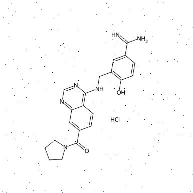 Cl.N=C(N)c1ccc(O)c(CNc2ncnc3cc(C(=O)N4CCCC4)ccc23)c1